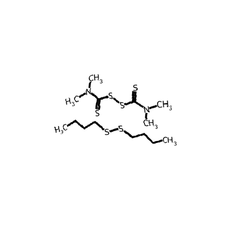 CCCCSSCCCC.CN(C)C(=S)SSC(=S)N(C)C